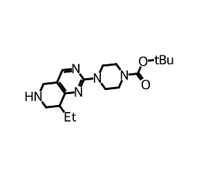 CCC1CNCc2cnc(N3CCN(C(=O)OC(C)(C)C)CC3)nc21